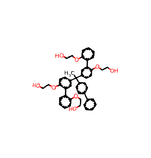 CC(c1ccc(-c2ccccc2)cc1)(c1ccc(OCCO)c(-c2ccccc2OCCO)c1)c1ccc(OCCO)c(-c2ccccc2OCCO)c1